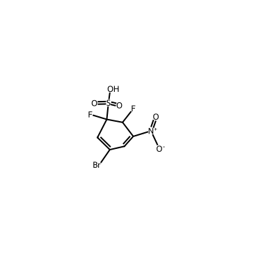 O=[N+]([O-])C1=CC(Br)=CC(F)(S(=O)(=O)O)C1F